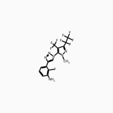 Cn1nc(C(F)(F)C(F)(F)F)c(C(F)(F)F)c1-n1cc(-c2cccc(N)c2F)nn1